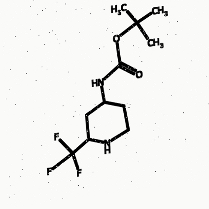 CC(C)(C)OC(=O)NC1CCNC(C(F)(F)F)C1